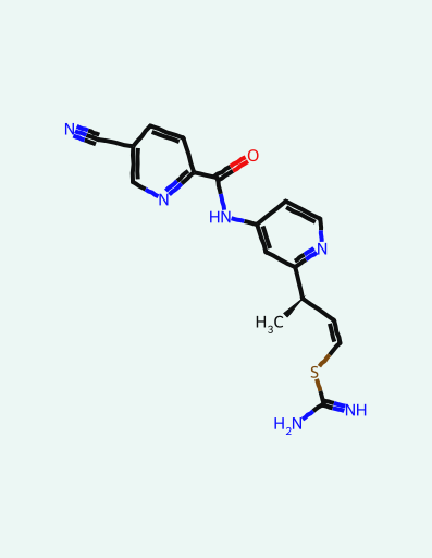 C[C@H](/C=C\SC(=N)N)c1cc(NC(=O)c2ccc(C#N)cn2)ccn1